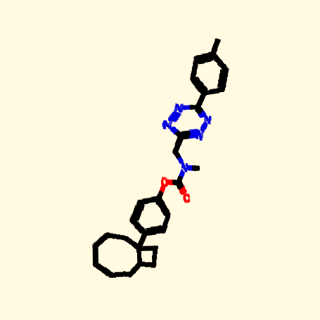 Cc1ccc(-c2nnc(CN(C)C(=O)Oc3ccc(C45CCCCCCC4CC5)cc3)nn2)cc1